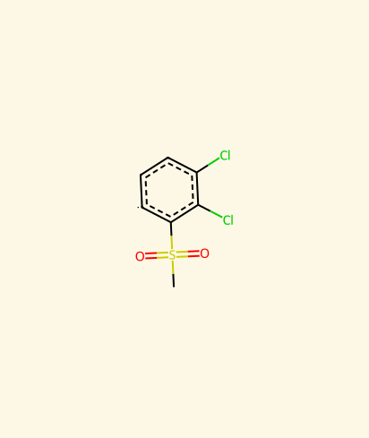 CS(=O)(=O)c1[c]ccc(Cl)c1Cl